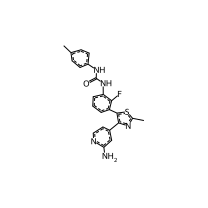 Cc1ccc(NC(=O)Nc2cccc(-c3sc(C)nc3-c3ccnc(N)c3)c2F)cc1